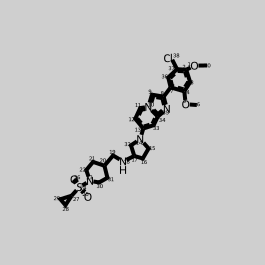 COc1cc(OC)c(-c2cn3ccc(N4CCC(NCC5CCN(S(=O)(=O)C6CC6)CC5)C4)cc3n2)cc1Cl